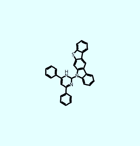 C1=C(c2ccccc2)NC(n2c3ccccc3c3cc4c(cc32)sc2ccccc24)N=C1c1ccccc1